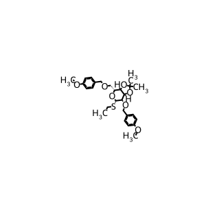 CCS[C@@H]1O[C@H](COCc2ccc(OC)cc2)[C@@H]2OC(C)(C)O[C@@H]2[C@H]1OCc1ccc(OC)cc1